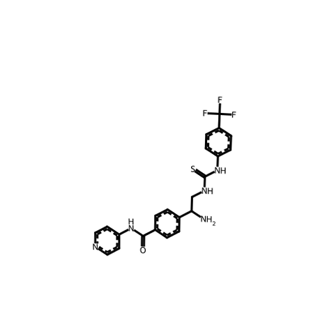 NC(CNC(=S)Nc1ccc(C(F)(F)F)cc1)c1ccc(C(=O)Nc2ccncc2)cc1